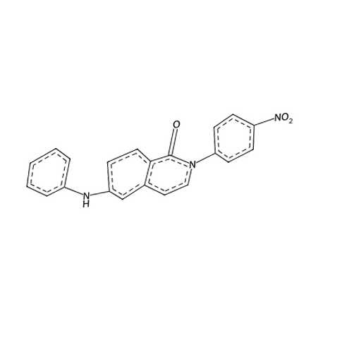 O=c1c2ccc(Nc3ccccc3)cc2ccn1-c1ccc([N+](=O)[O-])cc1